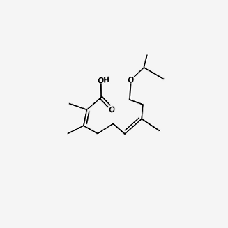 CC(=CCCC(C)=C(C)C(=O)O)CCOC(C)C